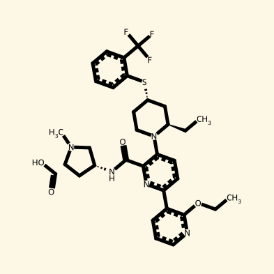 CCOc1ncccc1-c1ccc(N2CC[C@H](Sc3ccccc3C(F)(F)F)C[C@H]2CC)c(C(=O)N[C@@H]2CCN(C)C2)n1.O=CO